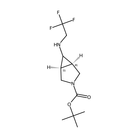 CC(C)(C)OC(=O)N1C[C@@H]2C(NCC(F)(F)F)[C@@H]2C1